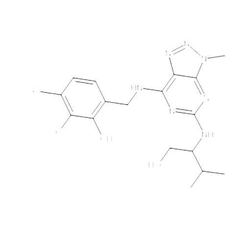 CC(C)C(CO)Nc1nc(NCc2ccc(Cl)c(O)c2O)c2nnn(C)c2n1